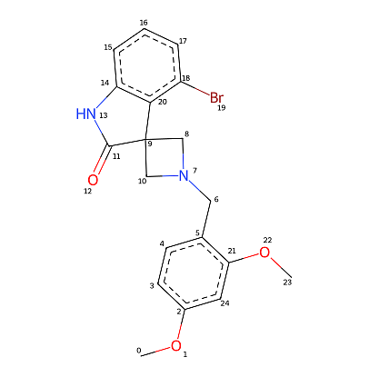 COc1ccc(CN2CC3(C2)C(=O)Nc2cccc(Br)c23)c(OC)c1